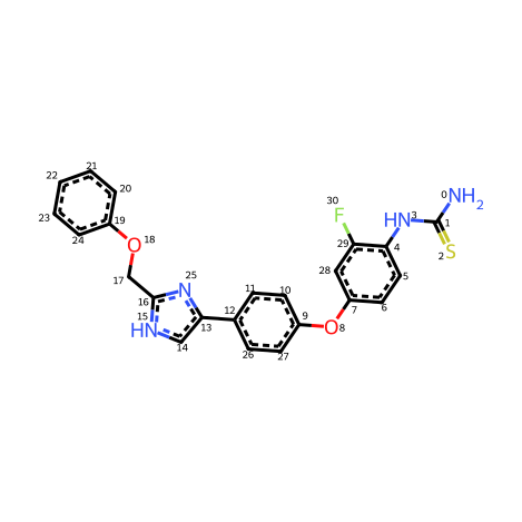 NC(=S)Nc1ccc(Oc2ccc(-c3c[nH]c(COc4ccccc4)n3)cc2)cc1F